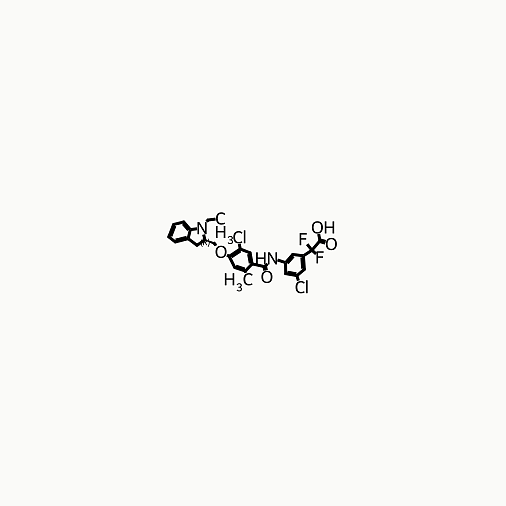 CCN1c2ccccc2C[C@@H]1COc1cc(C)c(C(=O)Nc2cc(Cl)cc(C(F)(F)C(=O)O)c2)cc1Cl